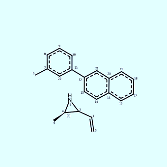 C=CC1N[C@@H]1C.Cc1cccc(-c2ccc3ccccc3c2)c1